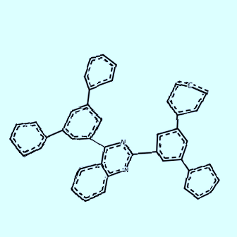 c1ccc(-c2cc(-c3ccccc3)cc(-c3nc(-c4cc(-c5ccccc5)cc(-c5ccccc5)c4)c4ccccc4n3)c2)cc1